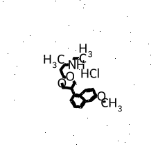 CCNC(C)CC1OCC(c2cccc3cc(OC)ccc23)CO1.Cl